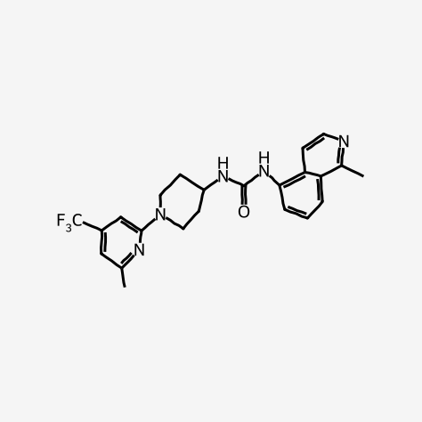 Cc1cc(C(F)(F)F)cc(N2CCC(NC(=O)Nc3cccc4c(C)nccc34)CC2)n1